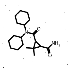 CC1(C)C(C(N)=O)C1C(=O)N(C1CCCCC1)C1CCCCC1